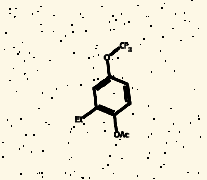 CCc1cc(OC(F)(F)F)ccc1OC(C)=O